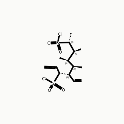 C=CC([C@@H](C=C)[C@H](C)[C@@H](C)[C@H](C)[C@@H](C)S(=O)(=O)Cl)S(=O)(=O)Cl